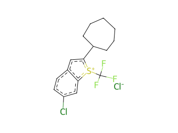 FC(F)(F)[s+]1c(C2CCCCCC2)cc2ccc(Cl)cc21.[Cl-]